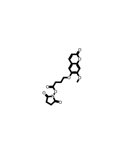 COc1cc2oc(=O)ccc2cc1OCCCC(=O)ON1C(=O)CCC1=O